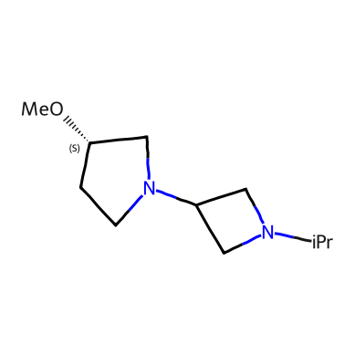 CO[C@H]1CCN(C2CN(C(C)C)C2)C1